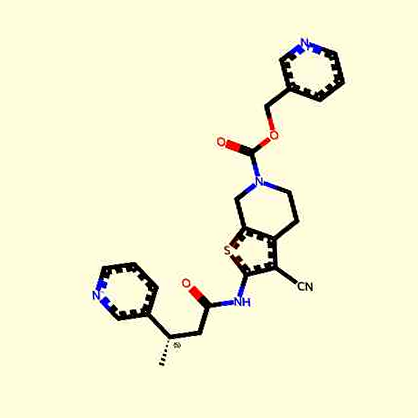 C[C@@H](CC(=O)Nc1sc2c(c1C#N)CCN(C(=O)OCc1cccnc1)C2)c1cccnc1